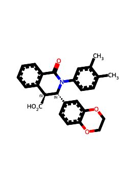 Cc1ccc(N2C(=O)c3ccccc3[C@H](C(=O)O)[C@H]2c2ccc3c(c2)OCCO3)cc1C